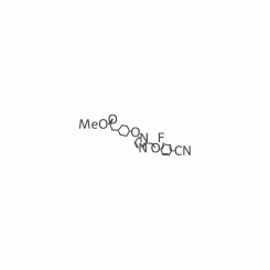 COC(=O)CC1CCC(Oc2ccnc(COc3ccc(C#N)cc3F)n2)CC1